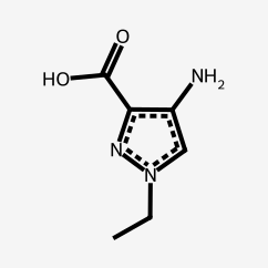 CCn1cc(N)c(C(=O)O)n1